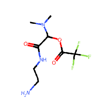 CN(C)C(OC(=O)C(F)(F)F)C(=O)NCCN